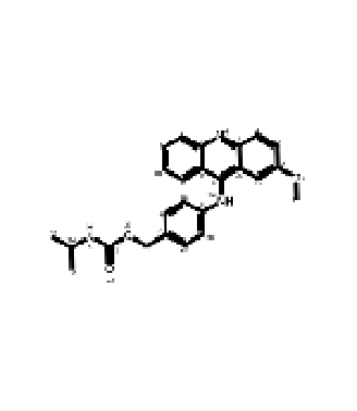 COc1ccc2nc3ccccc3c(Nc3ccc(COC(=O)NC(C)C)cc3)c2c1